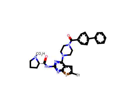 CCc1cc2c(N3CCN(C(=O)c4ccc(-c5ccccc5)cc4)CC3)nc(NC(=O)[C@@H]3CCCN3C(=O)O)nc2s1